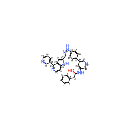 OC(Cc1ccccc1)Nc1cncc(-c2ccc3[nH]nc(-c4cc5c(-c6cccnc6)nccc5[nH]4)c3c2)c1